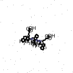 CN(C1=C(/C=C/C2N(CCCCS(=O)(=O)O)c3ccc4ccccc4c3C2(C)C)c2ccccc2/C1=C\C=C1\N(CCCCS(=O)(=O)O)c2ccc3ccccc3c2C1(C)C)S(=O)(=O)C(F)(F)F